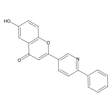 O=c1cc(-c2ccc(-c3ccccc3)nc2)oc2ccc(O)cc12